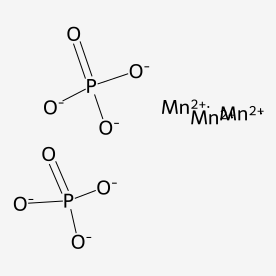 O=P([O-])([O-])[O-].O=P([O-])([O-])[O-].[Mn+2].[Mn+2].[Mn+2]